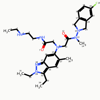 CCNCCNC(=O)CN(CC(=O)N(C)N1Cc2ccc(F)cc2C1)c1cc2nn(CC)c(CC)c2cc1C